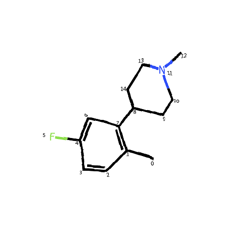 Cc1ccc(F)cc1C1CCN(C)CC1